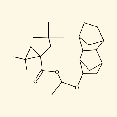 CC(OC(=O)C1(CC(C)(C)C)CC1(C)C)OC1CC2CC1C1C3CCC(C3)C21